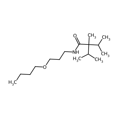 CCCCOCCCNC(=O)C(C)(C(C)C)C(C)C